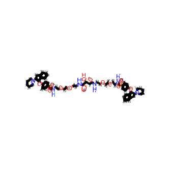 O=C(C[C@@H](O)C(=O)NCCOCCOCCNS(=O)(=O)c1ccc(O[C@H]2c3ccccc3C[C@@H]2N2CCCCC2)cc1)NCCOCCOCCNS(=O)(=O)c1ccc(O[C@H]2c3ccccc3CC2N2CCCCC2)cc1